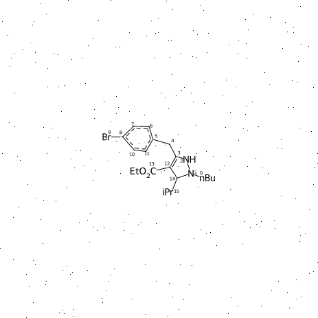 CCCCN1NC(Cc2ccc(Br)cc2)=C(C(=O)OCC)C1C(C)C